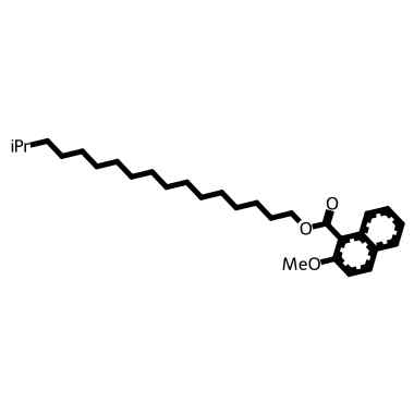 COc1ccc2ccccc2c1C(=O)OCCCCCCCCCCCCCCCC(C)C